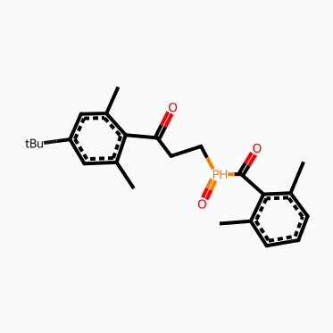 Cc1cc(C(C)(C)C)cc(C)c1C(=O)CC[PH](=O)C(=O)c1c(C)cccc1C